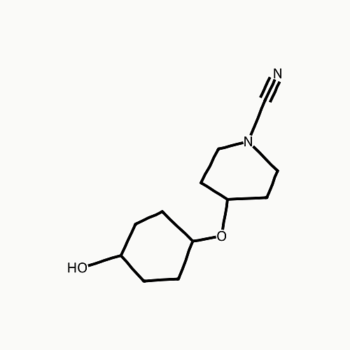 N#CN1CCC(OC2CCC(O)CC2)CC1